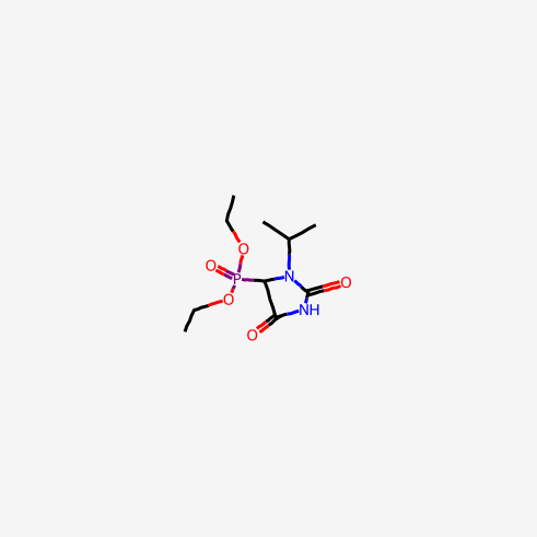 CCOP(=O)(OCC)C1C(=O)NC(=O)N1C(C)C